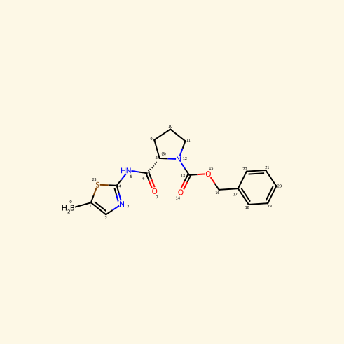 Bc1cnc(NC(=O)[C@@H]2CCCN2C(=O)OCc2ccccc2)s1